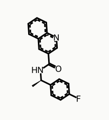 C[C@@H](NC(=O)c1cnc2ccccc2c1)c1ccc(F)cc1